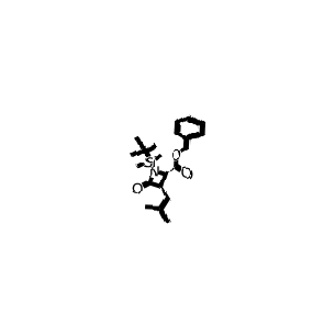 CC(C)C[C@H]1C(=O)N([Si](C)(C)C(C)(C)C)[C@@H]1C(=O)OCc1ccccc1